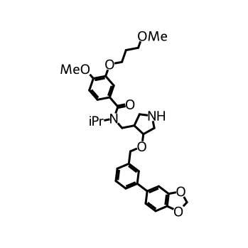 COCCCOc1cc(C(=O)N(CC2CNCC2OCc2cccc(-c3ccc4c(c3)OCO4)c2)C(C)C)ccc1OC